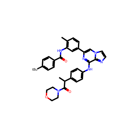 Cc1ccc(-c2cn3ccnc3c(Nc3ccc(C(C)C(=O)N4CCOCC4)cc3)n2)cc1NC(=O)c1ccc(C(C)(C)C)cc1